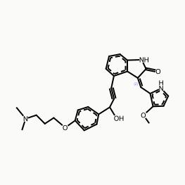 COc1cc[nH]c1/C=C1\C(=O)Nc2cccc(C#CC(O)c3ccc(OCCCN(C)C)cc3)c21